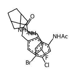 CC(=O)Nc1cc(Cl)c(Br)cc1C=CC(=O)C1(N)C2CCC1CC(N)(Cc1ccc(F)cc1)C2